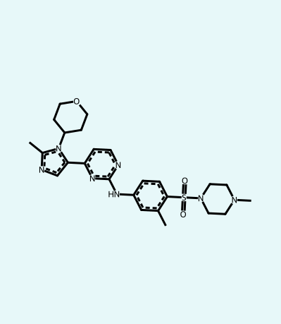 Cc1cc(Nc2nccc(-c3cnc(C)n3C3CCOCC3)n2)ccc1S(=O)(=O)N1CCN(C)CC1